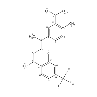 Cc1ccc(C(C)CCC(C)c2ccc(C(F)(F)F)cc2Cl)cc1C(C)C